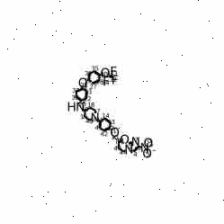 O=[N+]([O-])c1cn2c(n1)O[C@@H](COc1ccc(N3CCC(Nc4ccc(Oc5ccc(OC(F)(F)F)cc5)cc4)CC3)cc1)CC2